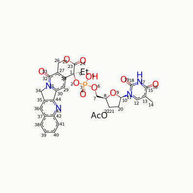 CC[C@@]1(OP(=O)(O)OC[C@H]2O[C@@H](n3cc(C)c(=O)[nH]c3=O)C[C@@H]2OC(C)=O)C(=O)OCc2c1cc1n(c2=O)Cc2cc3ccccc3nc2-1